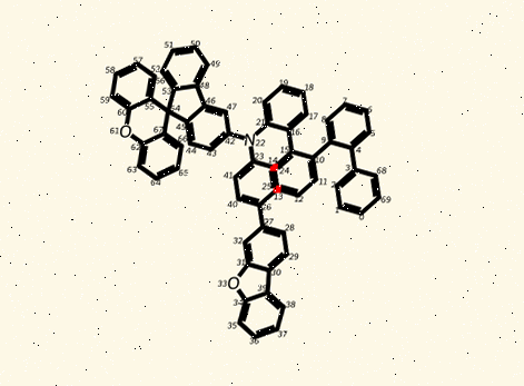 c1ccc(-c2ccccc2-c2ccccc2-c2ccccc2N(c2ccc(-c3ccc4c(c3)oc3ccccc34)cc2)c2ccc3c(c2)-c2ccccc2C32c3ccccc3Oc3ccccc32)cc1